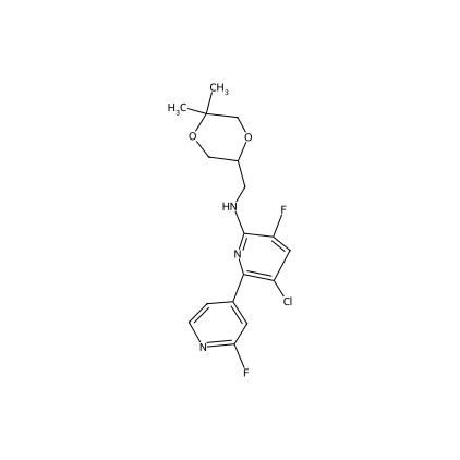 CC1(C)COC(CNc2nc(-c3ccnc(F)c3)c(Cl)cc2F)CO1